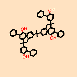 CC(C)(c1cccc(CC(C)(c2ccc(O)c(-c3ccccc3)c2)c2ccc(O)c(-c3ccccc3)c2)c1)c1cccc(CC(C)(c2ccc(O)c(-c3ccccc3)c2)c2ccc(O)c(-c3ccccc3)c2)c1